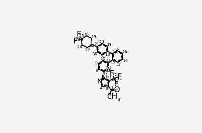 CC(=O)c1cnn(-c2cccc(-c3ccccc3-c3ccc(C4CCC(F)(F)CC4)cc3)n2)c1C(F)(F)F